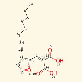 CCCCCCC#Cc1ccoc1C=C(C(=O)O)C(=O)O